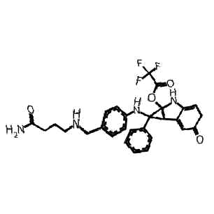 NC(=O)CCCNCc1ccc(NC2(c3ccccc3)C3C4=CC(=O)CC=C4NC32OC(=O)C(F)(F)F)cc1